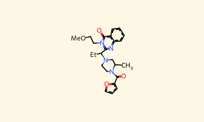 CCC(c1nc2ccccc2c(=O)n1CCOC)N1CCN(C(=O)c2ccco2)C(C)C1